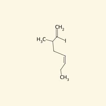 C=C(I)C(C)C/C=C\CC